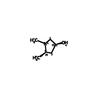 C[C@@H]1C[C@H](O)CN1C